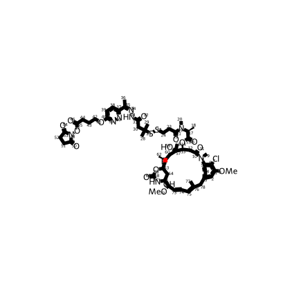 COc1cc2cc(c1Cl)N(C)C(=O)C[C@H](OC(=O)[C@H](C)N(C)C(=O)CCSSC(C)(C)CC(=O)N/N=C(/C)c1ccc(OCCCC(=O)ON3C(=O)CCC3=O)nn1)C(C)(O)C[C@H](C)[C@@H]1C[C@@](O)(NC(=O)O1)[C@H](OC)/C=C/C=C(\C)C2